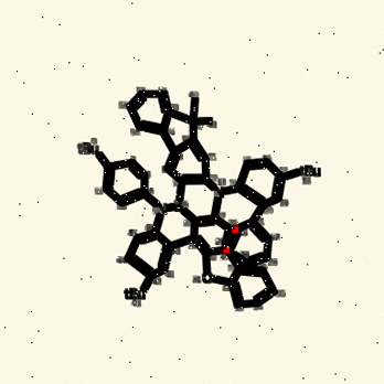 CC(C)(C)c1ccc(N2B3c4cc5c(cc4N(c4ccc(C(C)(C)C)cc4-c4ccccc4)c4cc6c(oc7ccccc76)c(c43)-c3cc(C(C)(C)C)ccc32)C(C)(C)c2ccccc2-5)cc1